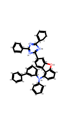 C1=CCCC(c2nc(-c3ccccc3)nc(-c3ccc4c(c3)oc3cccc(N(c5ccccc5)c5cccc(-c6ccccc6)c5)c34)n2)=C1